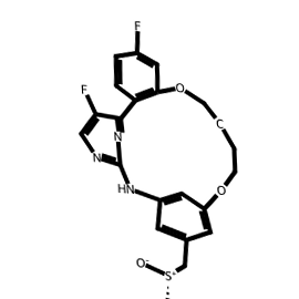 C[S@+]([O-])Cc1cc2cc(c1)OCCCCOc1cc(F)ccc1-c1nc(ncc1F)N2